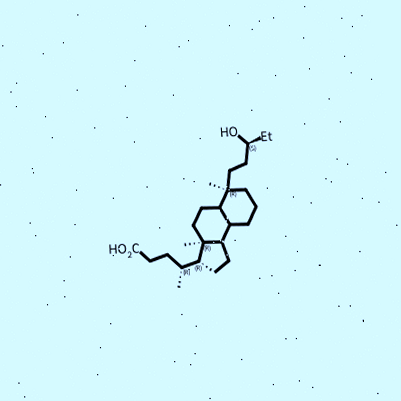 CC[C@H](O)CC[C@@]1(C)CCCC2C1CC[C@@]1(C)C2CC[C@@H]1[C@H](C)CCC(=O)O